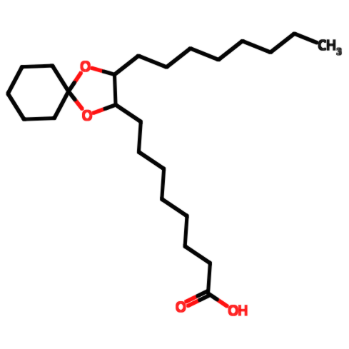 CCCCCCCCC1OC2(CCCCC2)OC1CCCCCCCC(=O)O